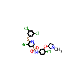 CN1CCC(Oc2cc(NS(=O)(=O)c3cnc(Sc4cc(Cl)cc(Cl)c4)c(Br)c3)ccc2Cl)C1